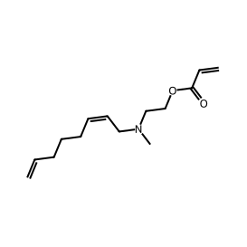 C=CCCC/C=C\CN(C)CCOC(=O)C=C